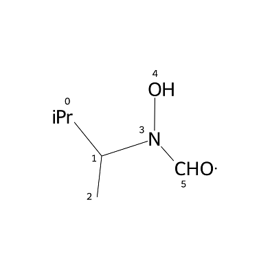 CC(C)C(C)N(O)[C]=O